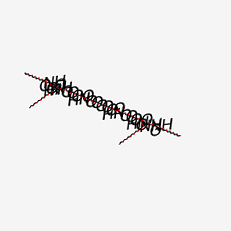 CCCCCCCCCCCCCC(=O)NCCCCC(NC(=O)CCCCCCCCCCCCC)C(=O)NCCCOCCOCCOCCCNC(=O)CCOCCOCCOCCOCCOCCC(=O)NCCCOCCOCCOCCCNC(=O)[C@H](CCCCNC(=O)CCCCCCCCCCCCC)NC(=O)CCCCCCCCCCCCC